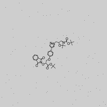 CC(C)(C)OC(=O)C(COc1ccc(-c2cnn(CC3CN(C(=O)OC(C)(C)C)C(C)(C)O3)c2)cc1)ON1C(=O)c2ccccc2C1=O